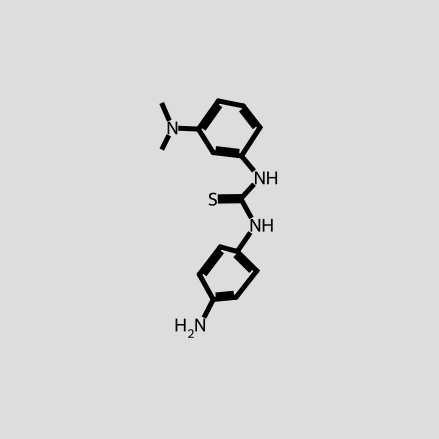 CN(C)c1cccc(NC(=S)Nc2ccc(N)cc2)c1